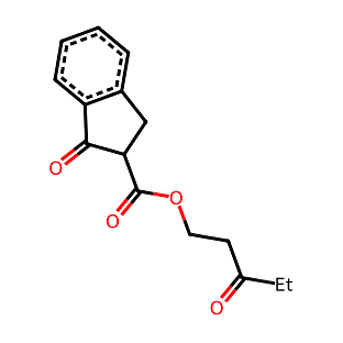 CCC(=O)CCOC(=O)C1Cc2ccccc2C1=O